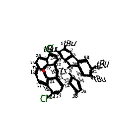 CC(C)(C)c1cc2c(cc1C(C)(C)C)[CH]([Zr](=[C](c1ccc(Cl)c3ccccc13)c1ccc(Cl)c3ccccc13)[CH]1C=CC=C1)c1cc(C(C)(C)C)c(C(C)(C)C)cc1-2